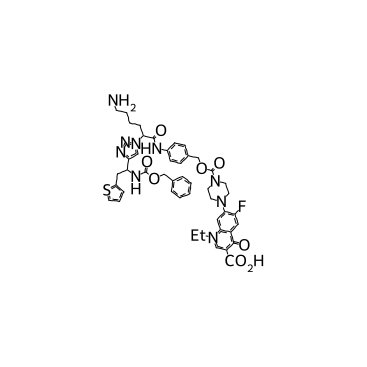 CCn1cc(C(=O)O)c(=O)c2cc(F)c(N3CCN(C(=O)OCc4ccc(NC(=O)C(CCCCN)n5cc(C(Cc6cccs6)NC(=O)OCc6ccccc6)nn5)cc4)CC3)cc21